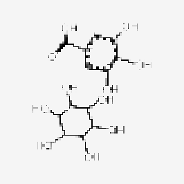 O=C(O)c1cc(O)c(O)c(O)c1.OC1C(O)C(O)C(O)C(O)C1O